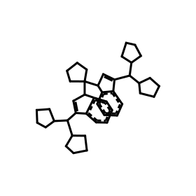 C1=C(C(C2CCCC2)C2CCCC2)c2ccccc2C1C1(C2C=C(C(C3CCCC3)C3CCCC3)c3ccccc32)CCCC1